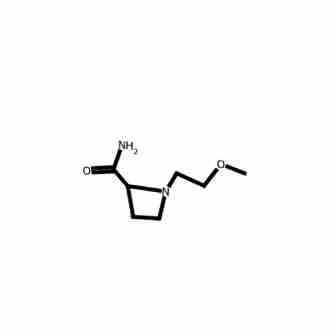 COCCN1C[CH]C1C(N)=O